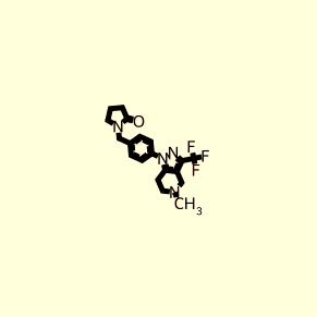 CN1CCc2c(c(C(F)(F)F)nn2-c2ccc(CN3CCCC3=O)cc2)C1